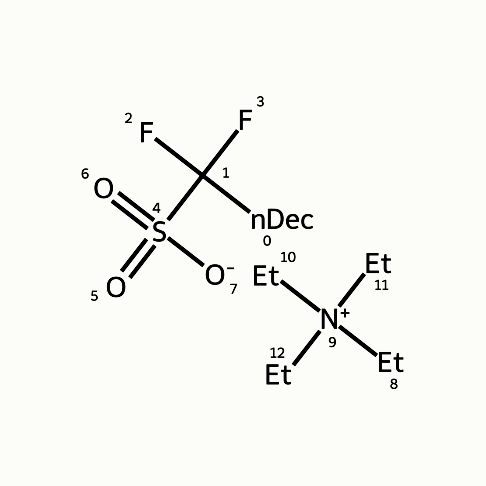 CCCCCCCCCCC(F)(F)S(=O)(=O)[O-].CC[N+](CC)(CC)CC